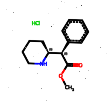 COC(=O)[C@H](c1ccccc1)[C@@H]1CCCCN1.Cl